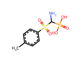 Cc1ccc(S(=O)(=O)C(N)P(=O)(O)O)cc1